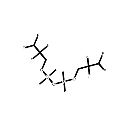 C[Si](C)(OCC(F)(F)C(F)F)O[Si](C)(C)OCC(F)(F)C(F)F